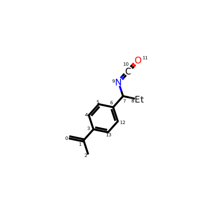 C=C(C)c1ccc(C(CC)N=C=O)cc1